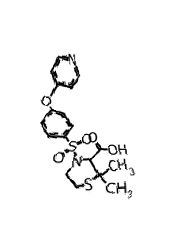 CC1(C)SCCN(S(=O)(=O)c2ccc(Oc3ccncc3)cc2)C1C(=O)O